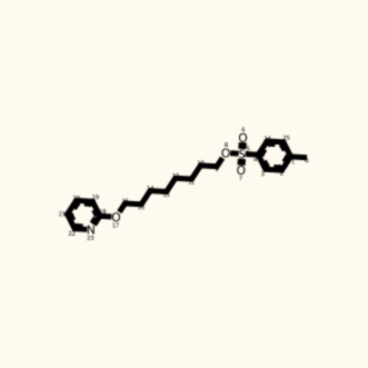 Cc1ccc(S(=O)(=O)OCCCCCCCCOc2ccccn2)cc1